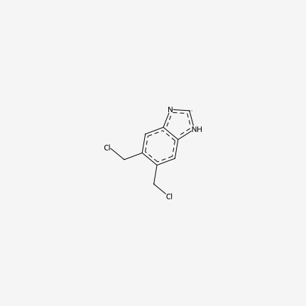 ClCc1cc2n[c][nH]c2cc1CCl